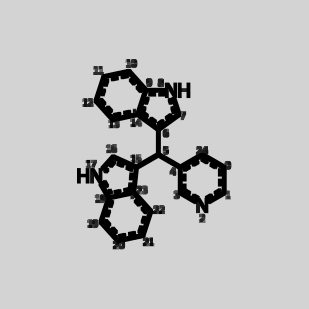 c1cncc(C(c2c[nH]c3ccccc23)c2c[nH]c3ccccc23)c1